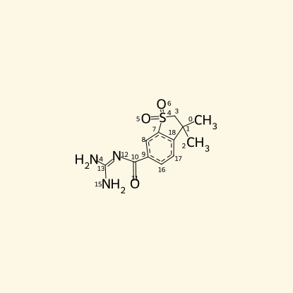 CC1(C)CS(=O)(=O)c2cc(C(=O)N=C(N)N)ccc21